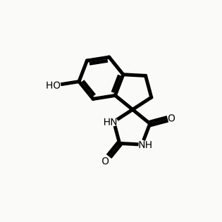 O=C1NC(=O)C2(CCc3ccc(O)cc32)N1